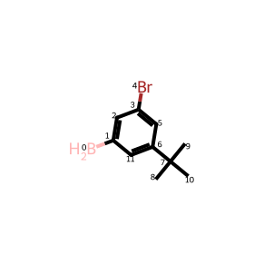 Bc1cc(Br)cc(C(C)(C)C)c1